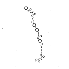 C=C(CC(=O)OC)C(=O)OCCCCCCOc1ccc(OC(=O)/C=C/c2ccc(-c3ccc(OCCCOC(=O)C(=C)CC(=O)OC4CCCCC4)cc3)cc2)cc1